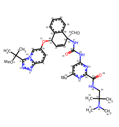 COC(C)(C)c1nnc2ccc(O[C@@H]3C=C[C@](C=O)(NC(=O)Nc4cc(C(C)(C)C)nc(C(=O)NCC(C)(C)N(C)C)n4)c4ccccc43)cn12